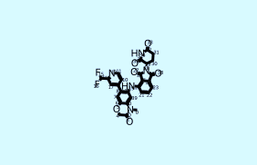 CN1C(=O)COc2cc(-c3ccnc(C(F)F)c3)c(Nc3cccc4c3C(=O)N([C@H]3CCC(=O)NC3=O)C4=O)cc21